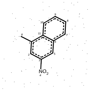 [CH2]c1cc([N+](=O)[O-])cc2ccccc12